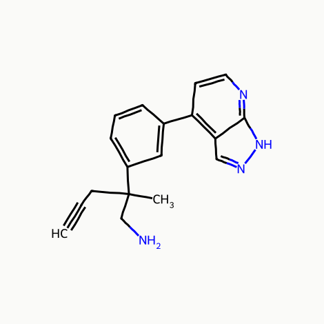 C#CCC(C)(CN)c1cccc(-c2ccnc3[nH]ncc23)c1